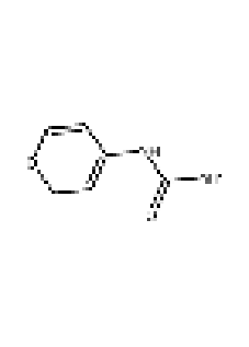 CCCC(=O)NC1=CCOC=C1